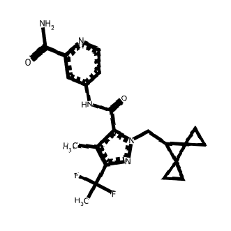 Cc1c(C(C)(F)F)nn(CC2C3(CC3)C23CC3)c1C(=O)Nc1ccnc(C(N)=O)c1